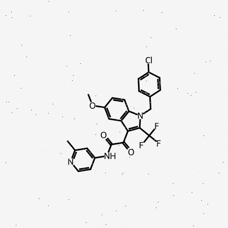 COc1ccc2c(c1)c(C(=O)C(=O)Nc1ccnc(C)c1)c(C(F)(F)F)n2Cc1ccc(Cl)cc1